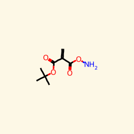 C=C(C(=O)ON)C(=O)OC(C)(C)C